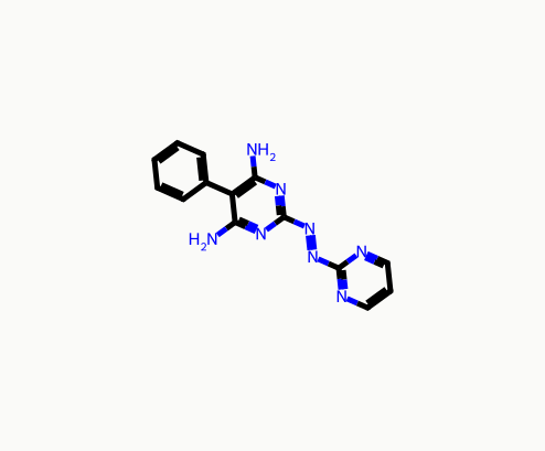 Nc1nc(N=Nc2ncccn2)nc(N)c1-c1ccccc1